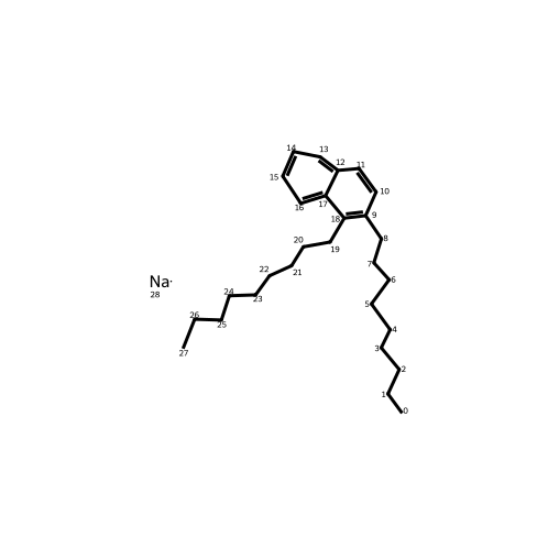 CCCCCCCCCc1ccc2ccccc2c1CCCCCCCCC.[Na]